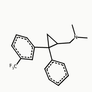 CN(C)CC1CC1(c1ccccc1)c1cccc(C(F)(F)F)c1